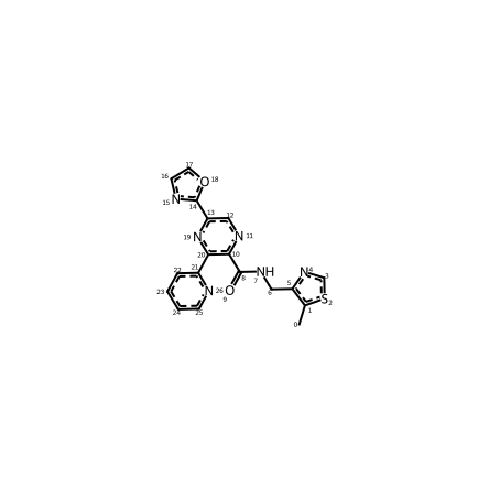 Cc1scnc1CNC(=O)c1ncc(-c2ncco2)nc1-c1ccccn1